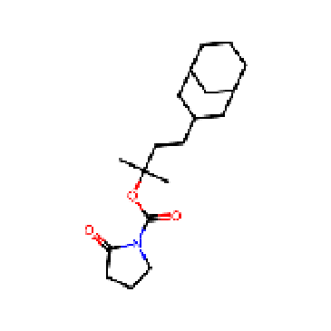 CC(C)(CCC1CC2CCCC(C2)C1)OC(=O)N1CCCC1=O